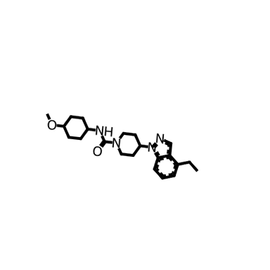 CCc1cccc2c1cnn2C1CCN(C(=O)NC2CCC(OC)CC2)CC1